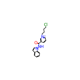 O=C(Nn1ccc2ccccc21)c1ccc[n+](CCCCCl)c1